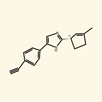 C#Cc1ccc(-c2cnc([C@@H]3C=C(C)CC3)[nH]2)cc1